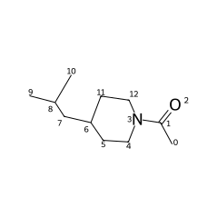 CC(=O)N1CCC(CC(C)C)CC1